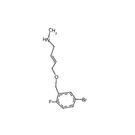 CNC/C=C/COCc1cc(Br)ccc1F